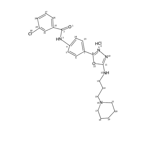 Cl.O=C(Nc1ccc(-c2nnc(NCCCN3CCCCC3)o2)cc1)c1cccc(Cl)c1